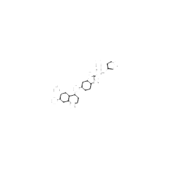 COc1cc2nccc(Oc3ccc4nc(NCc5ccsc5)sc4c3)c2cc1OC